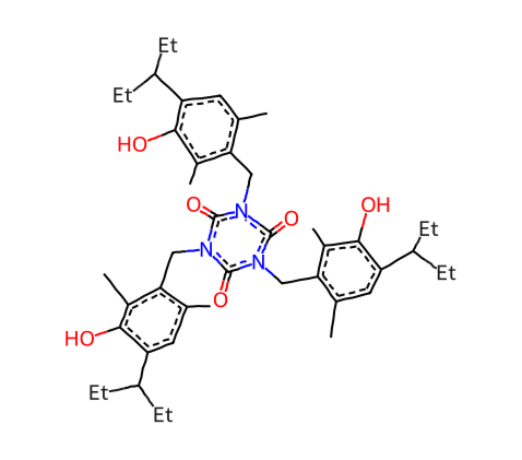 CCC(CC)c1cc(C)c(Cn2c(=O)n(Cc3c(C)cc(C(CC)CC)c(O)c3C)c(=O)n(Cc3c(C)cc(C(CC)CC)c(O)c3C)c2=O)c(C)c1O